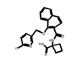 O=C(NC1(C(=O)O)CCC1)c1ccc2ccccc2c1OCc1ccc(Cl)nc1